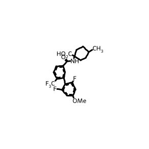 COc1cc(F)c(-c2cc(C(=O)NC3(C(=O)O)CCC(C)CC3)ccc2C(F)(F)F)c(F)c1